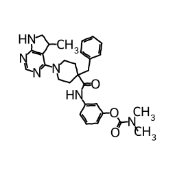 CC1CNc2ncnc(N3CCC(Cc4ccccc4)(C(=O)Nc4cccc(OC(=O)N(C)C)c4)CC3)c21